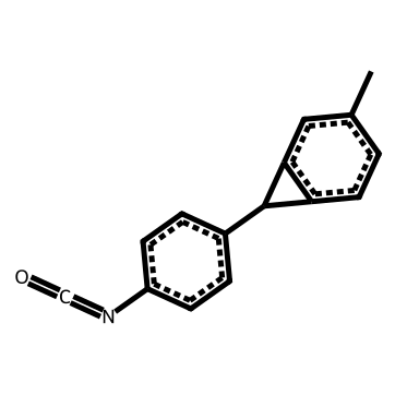 Cc1ccc2c(c1)C2c1ccc(N=C=O)cc1